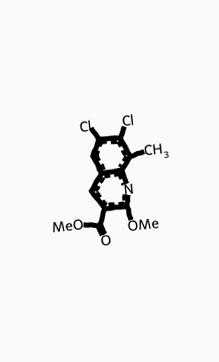 COC(=O)c1cc2cc(Cl)c(Cl)c(C)c2nc1OC